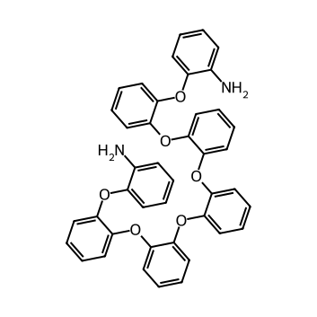 Nc1ccccc1Oc1ccccc1Oc1ccccc1Oc1ccccc1Oc1ccccc1Oc1ccccc1Oc1ccccc1N